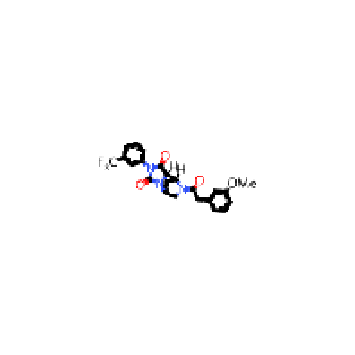 COc1cccc(CC(=O)N2CC3C[C@@H]2[C@@H]2C(=O)N(c4cccc(C(F)(F)F)c4)C(=O)N32)c1